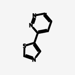 [c]1ccc(-c2cncs2)nn1